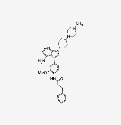 COc1cc(-c2cn([C@H]3CC[C@H](N4CCN(C)CC4)CC3)c3ncnc(N)c23)ccc1NC(=O)CCc1ccccc1